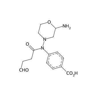 NC1CN(N(C(=O)CCC=O)c2ccc(C(=O)O)cc2)CCO1